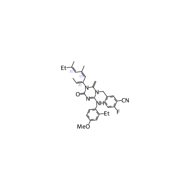 C=C1N(Cc2ccc(F)c(C#N)c2)C(Nc2ccc(OC)cc2CC)=NC(=O)N1C(/C=C(C)\C=C(/C)CC)=C/C